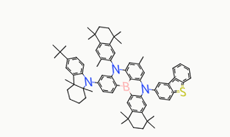 Cc1cc2c3c(c1)N(c1cc4c(cc1C)C(C)(C)CCC4(C)C)c1cc(N4c5ccc(C(C)(C)C)cc5C5(C)CCCCC45C)ccc1B3c1cc3c(cc1N2c1ccc2sc4ccccc4c2c1)C(C)(C)CCC3(C)C